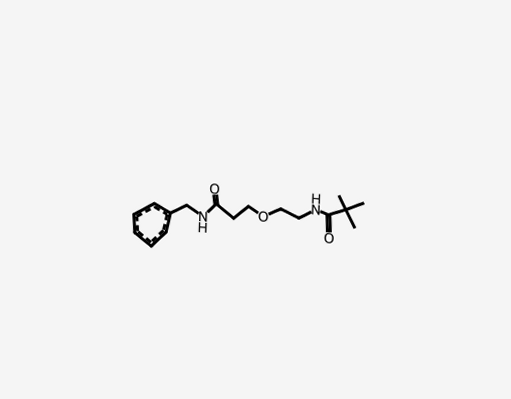 CC(C)(C)C(=O)NCCOCCC(=O)NCc1ccccc1